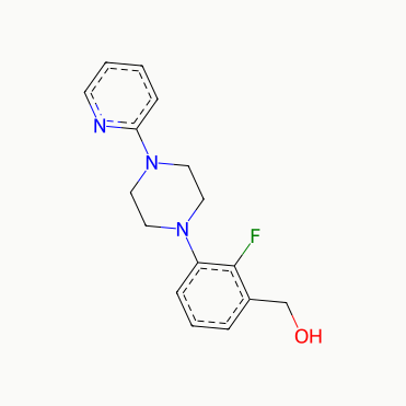 OCc1cccc(N2CCN(c3ccccn3)CC2)c1F